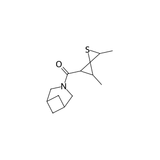 CC1SC12C(C)C2C(=O)N1CC2CC(C2)C1